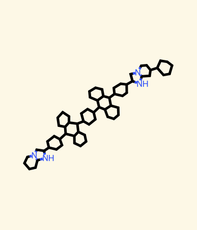 C1CCC(C2CCN3CC(C4CCC(C5C6CCCCC6C(C6CCC(C7C8CCCCC8C(C8CCC(C9CN%10CCCCC%10N9)CC8)C8CCCCC87)CC6)C6CCCCC65)CC4)NC3C2)CC1